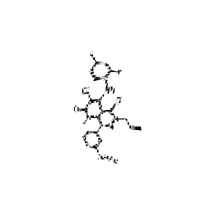 C=CCn1nc(-c2cccc(NC(C)=O)c2)c2c(c(Nc3ccc(I)cc3F)c(Cl)c(=O)n2C)c1=O